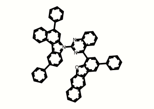 c1ccc(-c2cc(-c3nc(-n4c5ccc(-c6ccccc6)cc5c5c6ccccc6c(-c6ccccc6)cc54)nc4ccccc34)c3oc4cc5ccccc5cc4c3c2)cc1